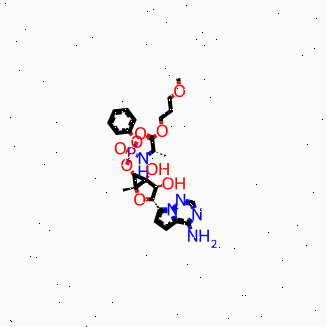 COCCCOC(=O)[C@H](C)NP(=O)(Oc1ccccc1)OC1[C@@]2(C)O[C@@H](c3ccc4c(N)ncnn34)[C@H](O)[C@@]12O